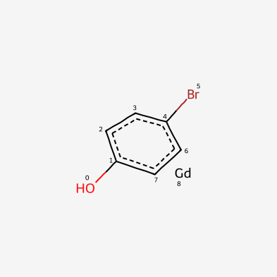 Oc1ccc(Br)cc1.[Gd]